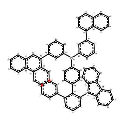 c1ccc(-c2cccc(-n3c4ccccc4c4ccccc43)c2-c2ccc(N(c3cccc(-c4cccc5ccccc45)c3)c3cccc(-c4cc5ccccc5c5ccccc45)c3)cc2)cc1